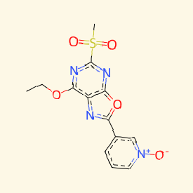 CCOc1nc(S(C)(=O)=O)nc2oc(-c3ccc[n+]([O-])c3)nc12